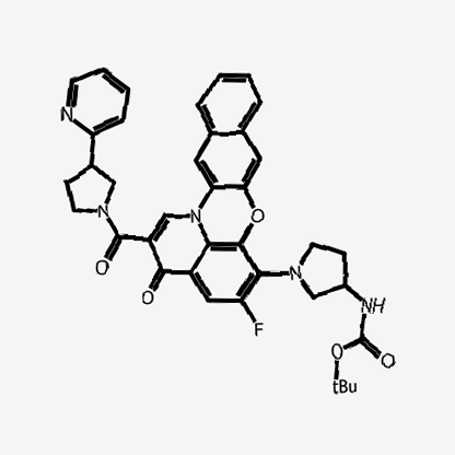 CC(C)(C)OC(=O)NC1CCN(c2c(F)cc3c(=O)c(C(=O)N4CCC(c5ccccn5)C4)cn4c3c2Oc2cc3ccccc3cc2-4)C1